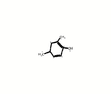 CC1=C(O)C=CC(C)[CH]1